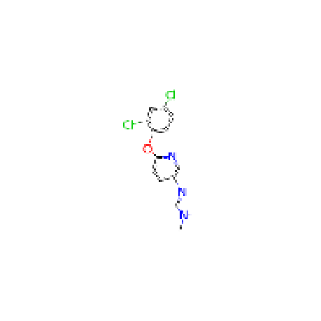 CN(C)/C=N/c1ccc(Oc2ccc(Cl)cc2Cl)nc1